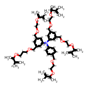 C=C(C)C(=C)OCCCOCc1cc(COCCOC(=C)C(=C)C)cc(N(c2ccc(COCCOC(=C)C(=C)C)cc2)c2cc(COCCOC(=C)C(=C)C)cc(COCCOC(=C)C(=C)C)c2)c1